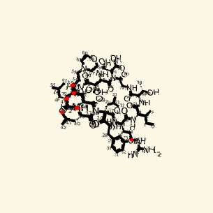 CCC(C)[C@H](NC(=O)[C@@H](CCCNC(=N)N)NC(=O)[C@@](CC(C)C)(C(=O)[C@@H](N)Cc1cccc(O)c1)N(C(=O)[C@H](CC(C)C)NC(=O)[C@@H](CC(C)C)NCCCN1CCOCC1)C(=O)[C@@H](N)[C@H](O)C(C)C)C(=O)N[C@H](C(=O)NCC(=O)N(C(=O)[C@@H](N)[C@H](O)C(N)=O)[C@@H](CO)C(=O)O)[C@H](C)O